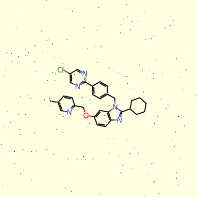 Cc1ccc(COc2ccc3nc(C4CCCCC4)n(Cc4ccc(-c5ncc(Cl)cn5)cc4)c3c2)nc1